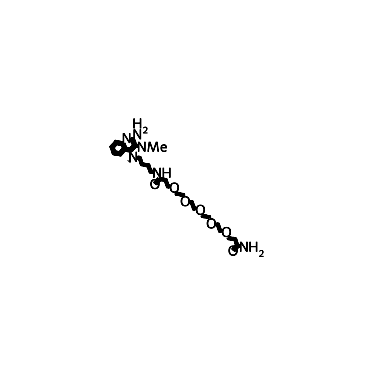 CNc1c(N)nc2ccccc2c1N(C)CCCCNC(=O)CCOCCOCCOCCOCCOCCC(N)=O